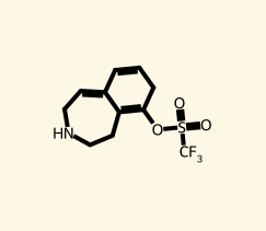 O=S(=O)(OC1=C2CCNCC=C2C=CC1)C(F)(F)F